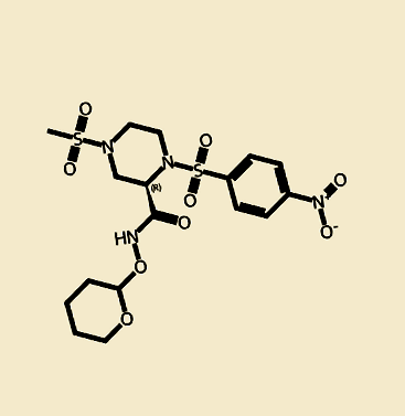 CS(=O)(=O)N1CCN(S(=O)(=O)c2ccc([N+](=O)[O-])cc2)[C@@H](C(=O)NOC2CCCCO2)C1